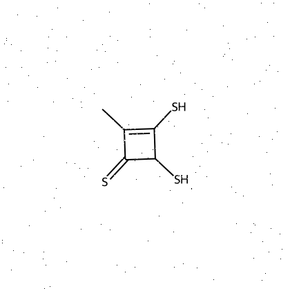 CC1=C(S)C(S)C1=S